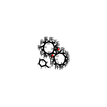 CC1CCCCC1.FC1(F)C(F)(F)C(F)(F)C(F)(F)C(F)(F)C(F)(C2(F)C(F)(F)C(F)(F)C(F)(F)C(F)(F)C(F)(F)C(F)(F)C(F)(F)C(F)(F)C2(F)F)C(F)(F)C(F)(F)C(F)(F)C1(F)F